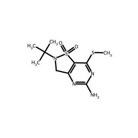 CSc1nc(N)nc2c1S(=O)(=O)N(C(C)(C)C)C2